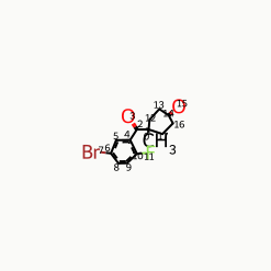 CC1(C(=O)c2cc(Br)ccc2F)CCC(=O)CC1